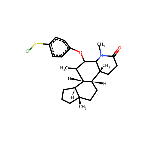 CC1C(Oc2ccc(SCl)cc2)C2N(C)C(=O)CC[C@]2(C)[C@@H]2CC[C@]3(C)CCC[C@H]3[C@H]12